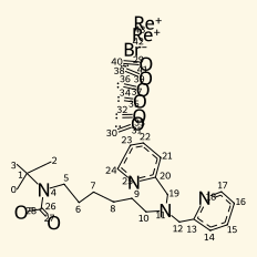 CC(C)(C)N(CCCCCCN(Cc1ccccn1)Cc1ccccn1)C(=O)[O-].[Br-].[C]=O.[C]=O.[C]=O.[C]=O.[C]=O.[C]=O.[Re+].[Re+]